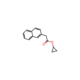 O=C(Cc1ccc2ccccc2c1)OC1CC1